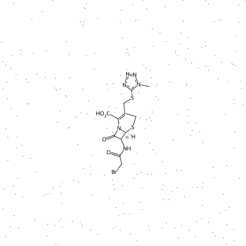 Cn1nnnc1SCC1=C(C(=O)O)N2C(=O)C(NC(=O)CBr)[C@@H]2SC1